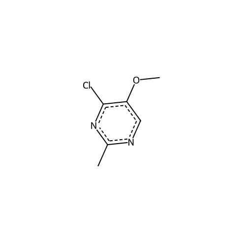 COc1cnc(C)nc1Cl